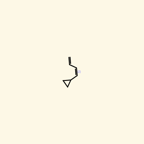 C=C/C=C\C1CC1